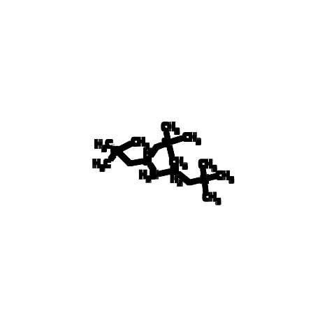 C[Si](C)(C)C[SiH2][SiH2][SiH](C[Si](C)(C)C)C[Si](C)(C)C